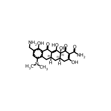 CN(C)c1cc(CN)c(O)c2c1C[C@H]1C[C@H]3CC(O)=C(C(N)=O)C(=O)[C@@]3(O)C(O)=C1C2=O